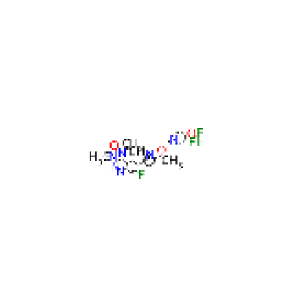 CC(C)n1c(=O)n(C)c2nnc3cc(F)c(-c4ccc([C@@H](C)OCCN5CCC(OC(F)(F)F)CC5)nc4)cc3c21